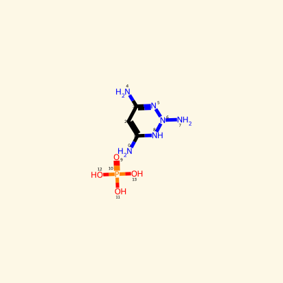 NC1=CC(N)=NN(N)N1.O=P(O)(O)O